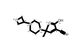 CC(C)(C=C(C#N)C(=O)O)N1CCN(C2COC2)CC1